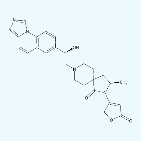 C[C@@H]1CC2(CCN(C[C@H](O)c3ccc4c(ccc5nnnn54)c3)CC2)C(=O)N1C1=CC(=O)OC1